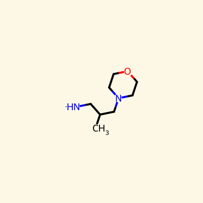 CC(C[NH])CN1CCOCC1